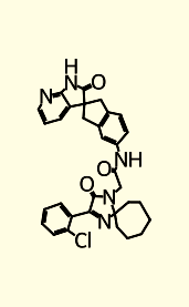 O=C(CN1C(=O)C(c2ccccc2Cl)=NC12CCCCCC2)Nc1ccc2c(c1)CC1(C2)C(=O)Nc2ncccc21